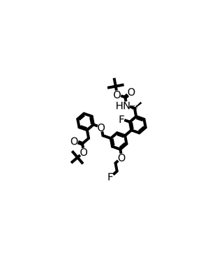 C[C@H](NC(=O)OC(C)(C)C)c1cccc(-c2cc(COc3ccccc3CC(=O)OC(C)(C)C)cc(OCCF)c2)c1F